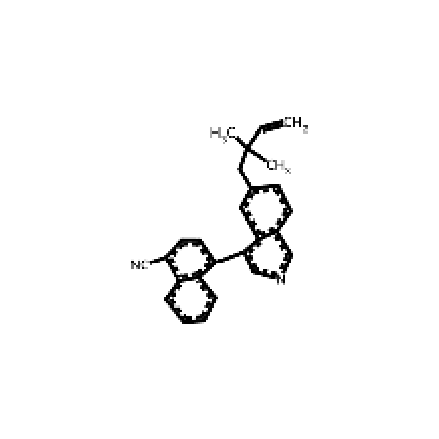 C=CC(C)(C)Cc1ccc2cncc(-c3ccc(C#N)c4ccccc34)c2c1